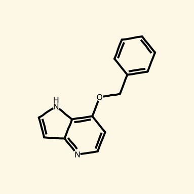 c1ccc(COc2ccnc3cc[nH]c23)cc1